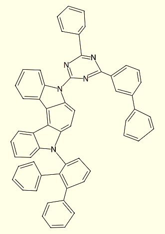 c1ccc(-c2cccc(-c3nc(-c4ccccc4)nc(-n4c5ccccc5c5c6c7ccccc7n(-c7cccc(-c8ccccc8)c7-c7ccccc7)c6ccc54)n3)c2)cc1